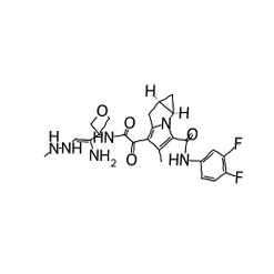 CNN/C=C(\N)C1(NC(=O)C(=O)c2c(C)c(C(=O)Nc3ccc(F)c(F)c3)n3c2C[C@H]2C[C@H]23)COC1